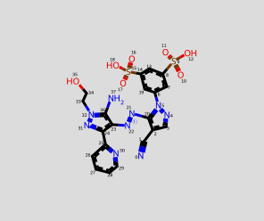 N#Cc1cnn(-c2cc(S(=O)(=O)O)cc(S(=O)(=O)O)c2)c1/N=N/c1c(-c2ccccn2)nn(CCO)c1N